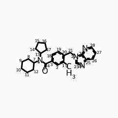 Cc1cc(C(=O)N(C2CCCCC2)C2CCCC2)ccc1Cn1cnc2cccnc21